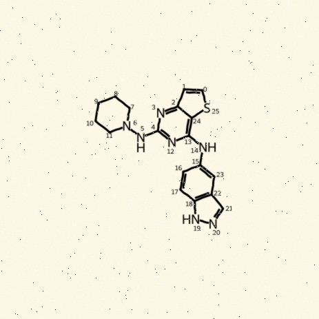 c1cc2nc(NN3CCCCC3)nc(Nc3ccc4[nH]ncc4c3)c2s1